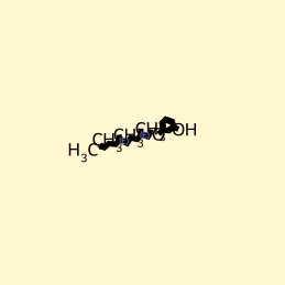 CC(C)=CCC/C(C)=C/CC/C(C)=C/COc1cccc(O)c1